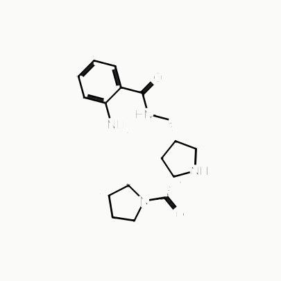 Nc1ccccc1C(=O)NC[C@@H]1CN[C@H](C(=O)N2CCCC2)C1